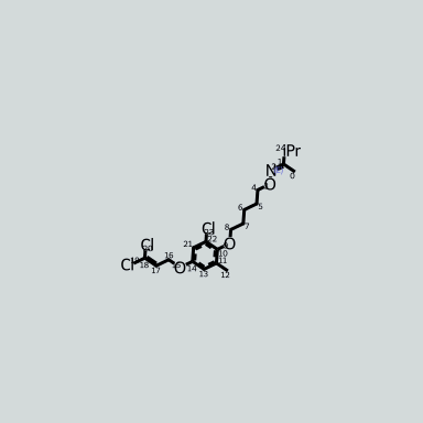 C/C(=N\OCCCCCOc1c(C)cc(OCC=C(Cl)Cl)cc1Cl)C(C)C